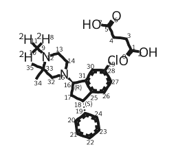 O=C(O)CCC(=O)O.[2H]C([2H])([2H])N1CCN([C@@H]2C[C@@H](c3ccccc3)c3ccc(Cl)cc32)CC1(C)C